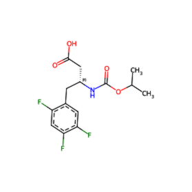 CC(C)OC(=O)N[C@@H](CC(=O)O)Cc1cc(F)c(F)cc1F